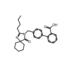 CCCCC1=NC2(CCCCC2)C(=O)N1Cc1ccc(-c2ccccc2C(=O)O)cc1